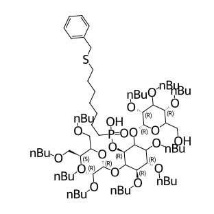 CCCCOCC(O[C@H](OC1[C@@H](OP(=O)(O)CCCCCCCSCc2ccccc2)C(O[C@H]2OC(CO)[C@@H](OCCCC)C(OCCCC)[C@H]2OCCCC)C(OCCCC)[C@H](OCCCC)[C@H]1OCCCC)[C@@H](C)OCCCC)[C@H](COCCCC)OCCCC